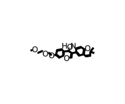 COCCOCOc1ccc2c(=O)c(-c3cc4c(cc3N)OC(C)(C)C=C4)coc2c1